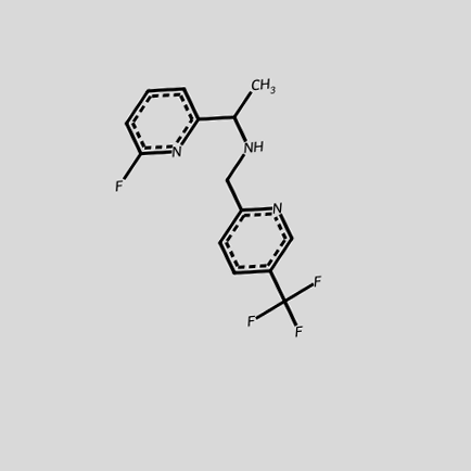 CC(NCc1ccc(C(F)(F)F)cn1)c1cccc(F)n1